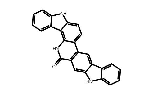 O=c1[nH]c2c(ccc3[nH]c4ccccc4c32)c2cc3c(cc12)[nH]c1ccccc13